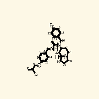 C=C(NCc1ccc(OCC(C)C)cc1)N(Cc1ccc(F)cc1)C1CCN2CCC[C@@H]2C1